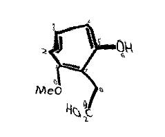 COc1cccc(O)c1CC(=O)O